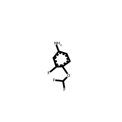 Nc1ccc(OC(F)F)c(F)c1